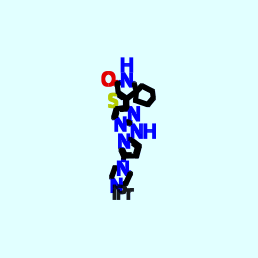 CC(C)N1CCN(c2ccc(Nc3ncc4sc5c(c4n3)C3(CCCCC3)CNC5=O)nc2)CC1